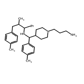 Cc1ccc(CC(C)C(NC(c2ccc(C)cc2)C2CCN(CCCN)CC2)C(C)C)cc1